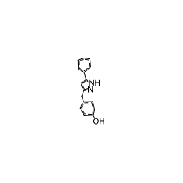 Oc1ccc(Cc2cc(-c3ccccc3)[nH]n2)cc1